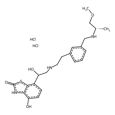 COC[C@H](C)NCc1cccc(CCNCC(O)c2ccc(O)c3[nH]c(=O)sc23)c1.Cl.Cl